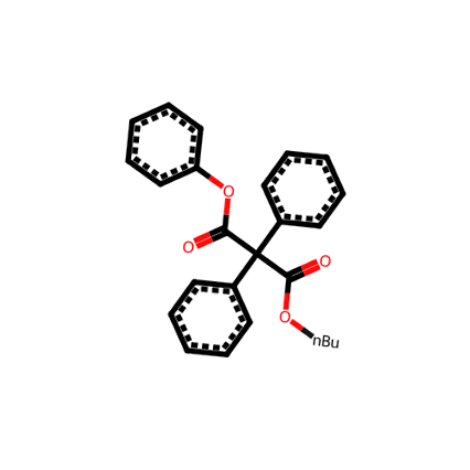 CCCCOC(=O)C(C(=O)Oc1ccccc1)(c1ccccc1)c1ccccc1